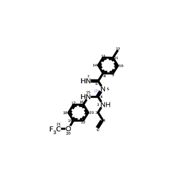 C=CCN/C(=N/C(=N)c1ccc(C)cc1)Nc1ccc(OC(F)(F)F)cc1